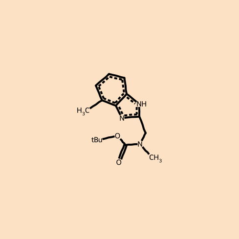 Cc1cccc2[nH]c(CN(C)C(=O)OC(C)(C)C)nc12